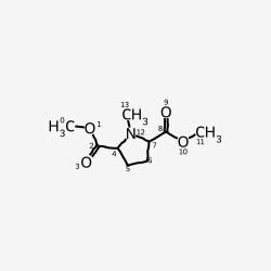 COC(=O)C1CCC(C(=O)OC)N1C